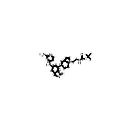 CC(C)(C)OC(=O)NCCn1ccc2cc(-c3cc(Nc4ccnc(N)n4)cc4cn[nH]c34)ccc21